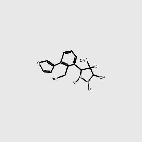 CCN1C(O)C(Cl)(C=O)C(c2cccc(-c3ccoc3)c2CO)N1Cl